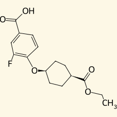 CCOC(=O)[C@H]1CC[C@@H](Oc2ccc(C(=O)O)cc2F)CC1